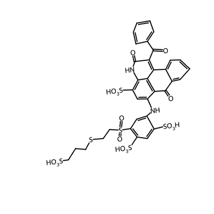 O=C(c1ccccc1)c1c2c3c(c(Nc4cc(S(=O)(=O)CCSCCCS(=O)(=O)O)c(S(=O)(=O)O)cc4S(=O)(=O)O)cc(S(=O)(=O)O)c3[nH]c1=O)C(=O)c1ccccc1-2